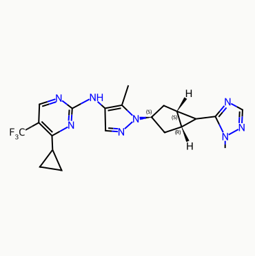 Cc1c(Nc2ncc(C(F)(F)F)c(C3CC3)n2)cnn1[C@H]1C[C@@H]2C(c3ncnn3C)[C@@H]2C1